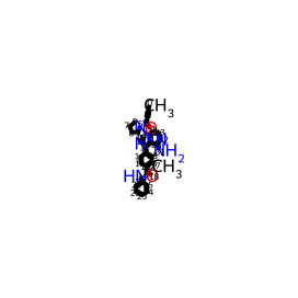 CC#CC(=O)N1CCC[C@H]1c1nc(-c2ccc(C(=O)Nc3ccccc3)c(C)c2)c2c(N)nccn12